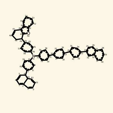 C1=CC2=CC=CC(c3ccc(N(c4ccc(-c5ccc(-c6ccc(-c7ccc8ccccc8c7)cc6)cc5)cc4)c4ccc(C5CC=Cc6c5oc5ccccc65)cc4)cc3)C2C=C1